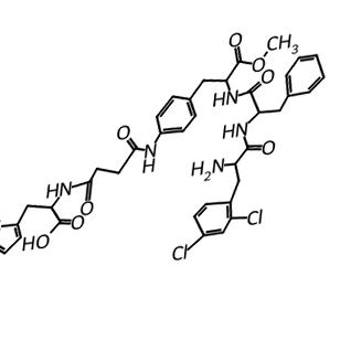 COC(=O)C(Cc1ccc(NC(=O)CCC(=O)NC(Cc2cccs2)C(=O)O)cc1)NC(=O)C(Cc1ccccc1)NC(=O)C(N)Cc1ccc(Cl)cc1Cl